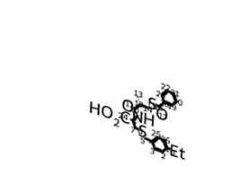 CCc1ccc(CSC[C@H](NC(=O)[C@H](C)CSC(=O)c2ccccc2)C(=O)O)cc1